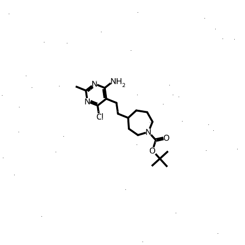 Cc1nc(N)c(CCC2CCCN(C(=O)OC(C)(C)C)CC2)c(Cl)n1